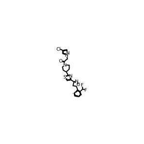 O=C(Cn1cc(Cl)cn1)N1CCC(c2nc(C3=NOC(c4[c]cccc4C(F)F)C3)cs2)CC1